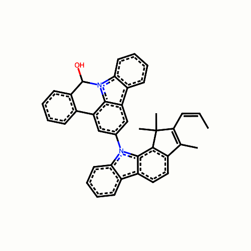 C/C=C\C1=C(C)c2ccc3c4ccccc4n(-c4cc5c6c(c4)c4ccccc4n6C(O)c4ccccc4-5)c3c2C1(C)C